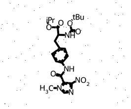 CC(C)OC(=O)C(Cc1ccc(NC(=O)c2c([N+](=O)[O-])ncn2C)cc1)NC(=O)OC(C)(C)C